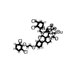 CC(C)(C)OC(=O)N1CCC(c2ccc(OCCOc3c(Cl)cccc3Cl)cc2)=C(C(=O)N(Cc2cccc(Cl)c2Cl)C2CC2)C1COS(C)(=O)=O